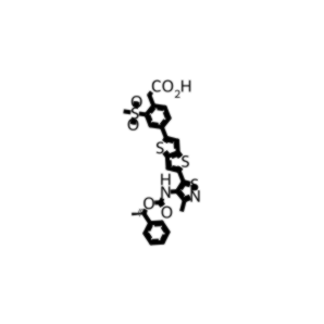 Cc1nsc(-c2cc3sc(-c4ccc(CC(=O)O)c(S(C)(=O)=O)c4)cc3s2)c1NC(=O)O[C@H](C)c1ccccc1